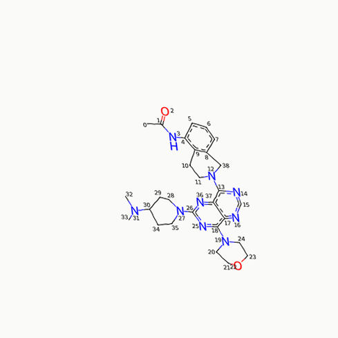 CC(=O)Nc1cccc2c1CCN(c1ncnc3c(N4CCOCC4)nc(N4CCC(N(C)C)CC4)nc13)C2